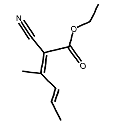 C/C=C/C(C)=C(/C#N)C(=O)OCC